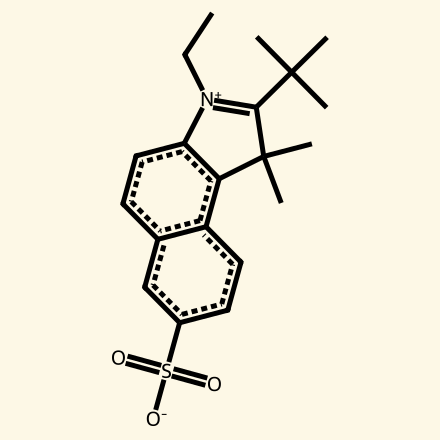 CC[N+]1=C(C(C)(C)C)C(C)(C)c2c1ccc1cc(S(=O)(=O)[O-])ccc21